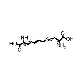 N[C@@H](CCC=CCSSC[C@H](N)C(=O)O)C(=O)O